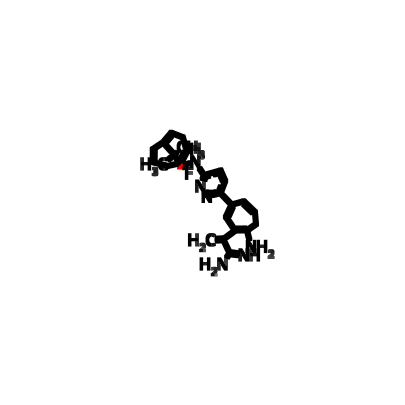 C=C(C(=N)N)C1=C(N)CC=CC(c2ccc(NCC(C)(C)C3=C\C/C=C(/F)C/C=C\3)nn2)=C1